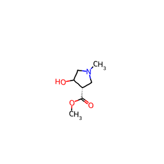 COC(=O)[C@H]1CN(C)CC1O